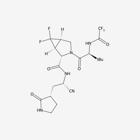 CC(C)(C)[C@H](NC(=O)C(F)(F)F)C(=O)N1C[C@H]2[C@@H]([C@H]1C(=O)N[C@H](C#N)C[C@@H]1CCNC1=O)C2(F)F